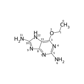 CCOc1nc(N)nc2nc(N)[nH]c12